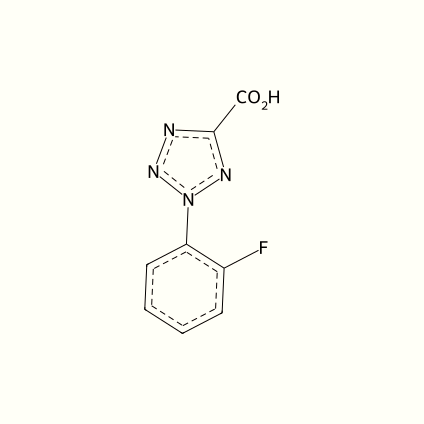 O=C(O)c1nnn(-c2ccccc2F)n1